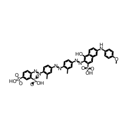 COc1ccc(Nc2ccc3c(O)c(N=Nc4ccc(N=Nc5ccc(N=Nc6ccc(S(=O)(=O)O)cc6S(=O)(=O)O)c(C)c5)c(C)c4)c(S(=O)(=O)O)cc3c2)cc1